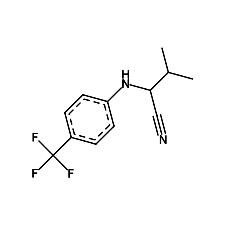 CC(C)C(C#N)Nc1ccc(C(F)(F)F)cc1